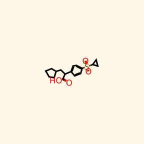 O=C(O)C(CC1CCCC1)c1ccc(S(=O)(=O)C2CC2)cc1